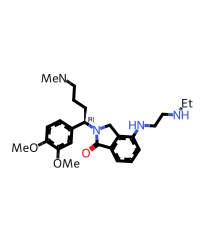 CCNCCNc1cccc2c1CN([C@H](CCCNC)c1ccc(OC)c(OC)c1)C2=O